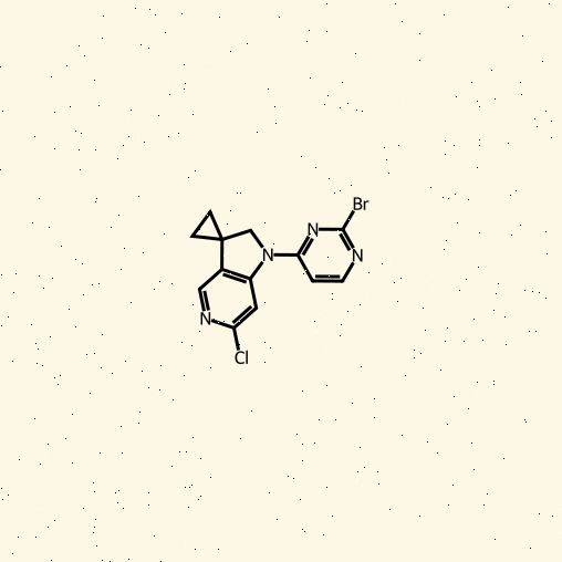 Clc1cc2c(cn1)C1(CC1)CN2c1ccnc(Br)n1